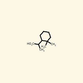 CC(C(=O)O)C1CCCCC1(C)C